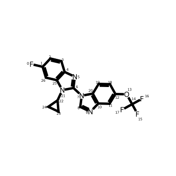 Fc1ccc2nc(-n3cnc4cc(OC(F)(F)F)ccc43)n(C3CC3)c2c1